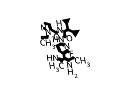 CCCn1nccc1C(=O)N[C@H](C(=O)Nc1ccc(/C(C(C)=N)=C(/N)CC)c(F)n1)C(C1CC1)C1CC1